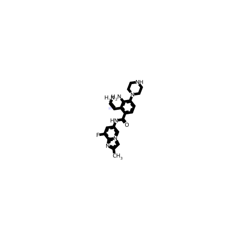 Cc1cn2cc(NC(=O)c3ccc(N4CCNCC4)c(N)c3/C=C\N)cc(F)c2n1